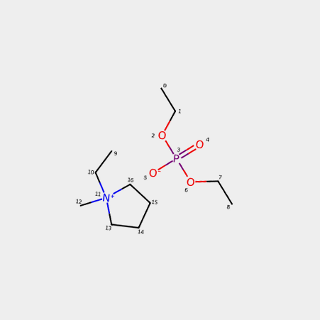 CCOP(=O)([O-])OCC.CC[N+]1(C)CCCC1